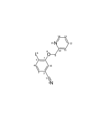 N#Cc1ccc(I)c(OCc2ccccn2)c1